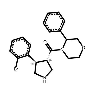 O=C([C@@H]1CNC[C@H]1c1ccccc1Br)N1CCOCC1c1ccccc1